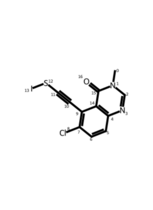 Cn1cnc2ccc(Cl)c(C#CSI)c2c1=O